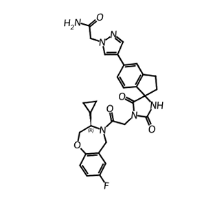 NC(=O)Cn1cc(-c2ccc3c(c2)CCC32NC(=O)N(CC(=O)N3Cc4cc(F)ccc4OC[C@H]3C3CC3)C2=O)cn1